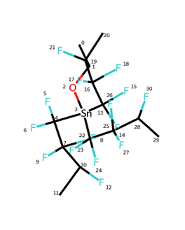 CC[O][Sn]([C](F)(F)C(F)(F)C(C)F)([C](F)(F)C(F)(F)C(C)F)[C](F)(F)C(F)(F)C(C)F